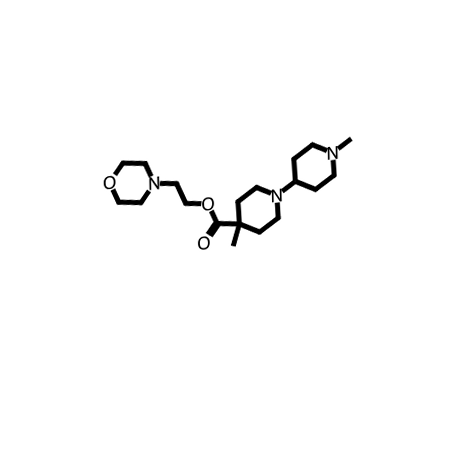 CN1CCC(N2CCC(C)(C(=O)OCCN3CCOCC3)CC2)CC1